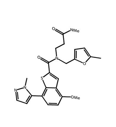 CNC(=O)CCN(Cc1ccc(C)o1)C(=O)c1cc2c(OC)ccc(-c3ccnn3C)c2s1